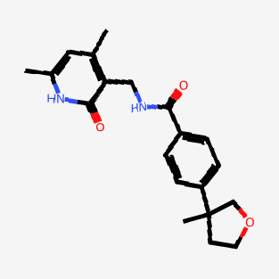 Cc1cc(C)c(CNC(=O)c2ccc(C3(C)CCOC3)cc2)c(=O)[nH]1